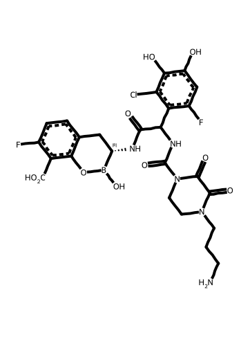 NCCCN1CCN(C(=O)NC(C(=O)N[C@H]2Cc3ccc(F)c(C(=O)O)c3OB2O)c2c(F)cc(O)c(O)c2Cl)C(=O)C1=O